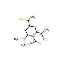 CC(C)C1CC(C(C)S)CC(C(C)C)N1C(C)S